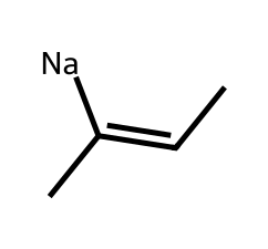 CC=[C](C)[Na]